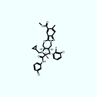 COC(=O)c1cc2c3n(nc2cc1C)C[C@@H]1[C@H](CO3)N(CC2CC2)[C@@](C)(C(=O)Nc2cccc(Cl)c2)[C@H]1c1cccc(Cl)c1F